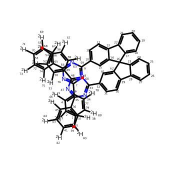 [2H]c1c([2H])c([2H])c(-c2nc(-c3ccc4c(c3)C3(c5ccccc5-4)c4ccccc4-c4ccc(-c5nc(-c6c([2H])c([2H])c([2H])c([2H])c6[2H])nc(-c6c([2H])c([2H])c([2H])c([2H])c6[2H])n5)cc43)nc(-c3c([2H])c([2H])c([2H])c([2H])c3[2H])n2)c([2H])c1[2H]